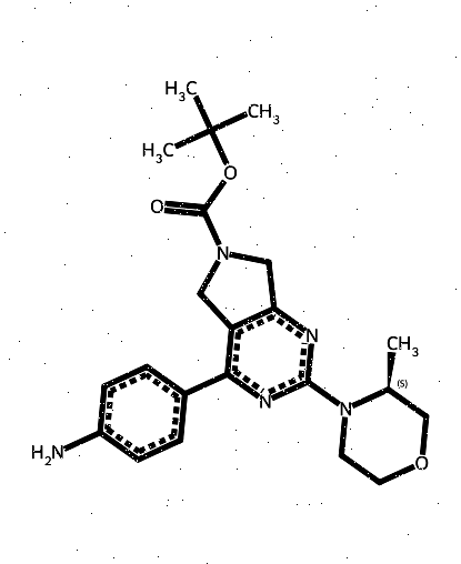 C[C@H]1COCCN1c1nc2c(c(-c3ccc(N)cc3)n1)CN(C(=O)OC(C)(C)C)C2